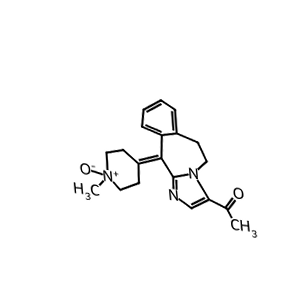 CC(=O)c1cnc2n1CCc1ccccc1C2=C1CC[N+](C)([O-])CC1